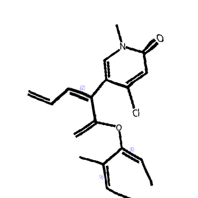 C=C/C=C(\C(=C)OC(=C/C)/C(C)=C\C)c1cn(C)c(=O)cc1Cl